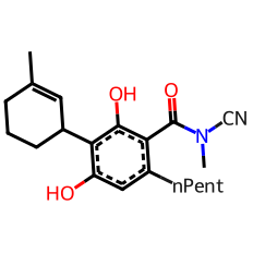 CCCCCc1cc(O)c(C2C=C(C)CCC2)c(O)c1C(=O)N(C)C#N